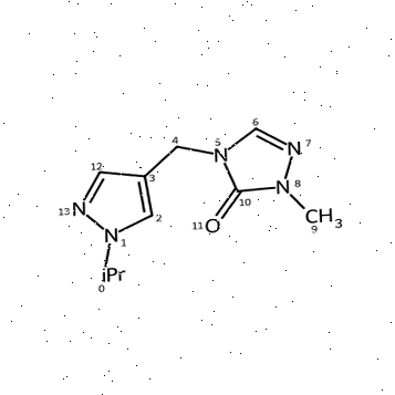 CC(C)n1cc(Cn2cnn(C)c2=O)cn1